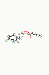 C=CCCC(=O)OC1CCC(c2ccc(Cl)c(F)c2)CC1